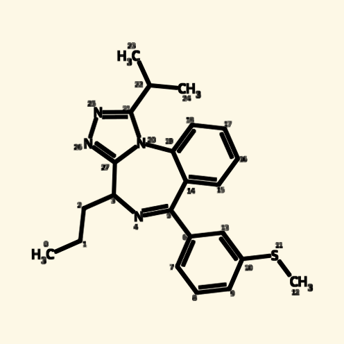 CCCC1N=C(c2cccc(SC)c2)c2ccccc2-n2c(C(C)C)nnc21